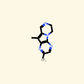 Cc1c2n(c3ncc(C(F)(F)F)nc13)CCN=C2